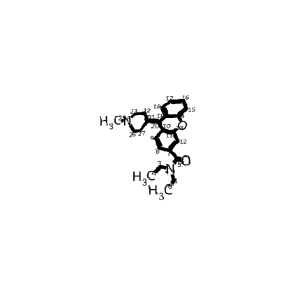 CCN(CC)C(=O)c1ccc2c(c1)Oc1ccccc1C2=C1CCN(C)CC1